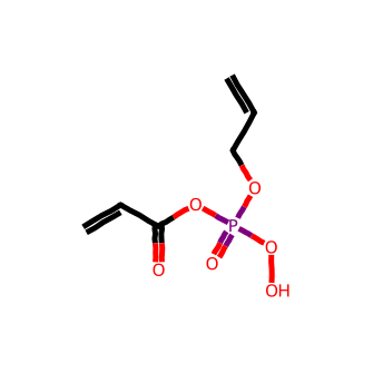 C=CCOP(=O)(OO)OC(=O)C=C